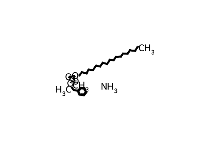 CCCCCCCCCCCCCCCCCCCOS(=O)(=O)OC(C)(C)Cc1ccccc1.N